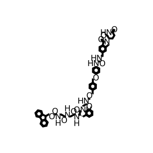 O=C(CNC(=O)OCC1c2ccccc2-c2ccccc21)NCC(=O)N[C@@H](Cc1ccccc1)C(=O)NCC(=O)NCOCc1ccc(COc2ccc(NC(=O)NCc3ccc4c(c3)CN(C3CCC(=O)NC3=O)C4=O)cc2)cc1